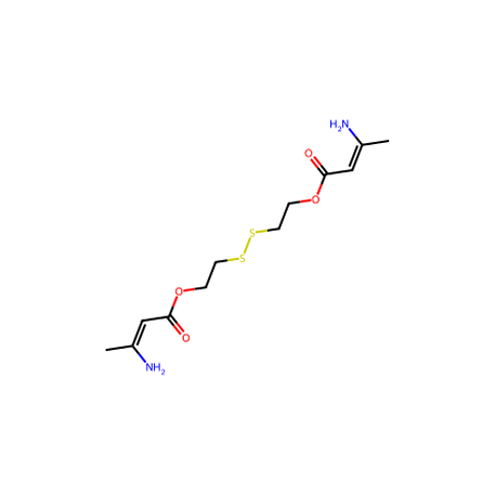 C/C(N)=C/C(=O)OCCSSCCOC(=O)/C=C(/C)N